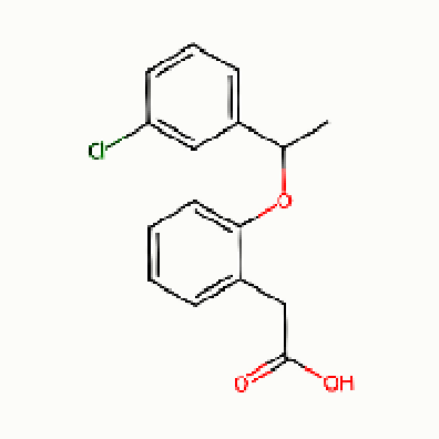 CC(Oc1ccccc1CC(=O)O)c1cccc(Cl)c1